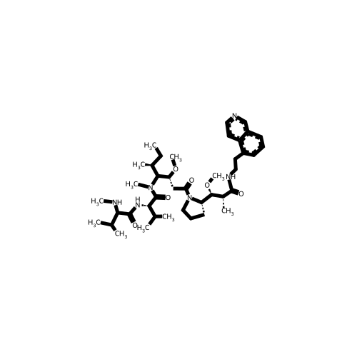 CC[C@H](C)C([C@@H](CC(=O)N1CCC[C@H]1[C@H](OC)[C@@H](C)C(=O)NCCc1cccc2cnccc12)OC)N(C)C(=O)[C@@H](NC(=O)C(NC)C(C)C)C(C)C